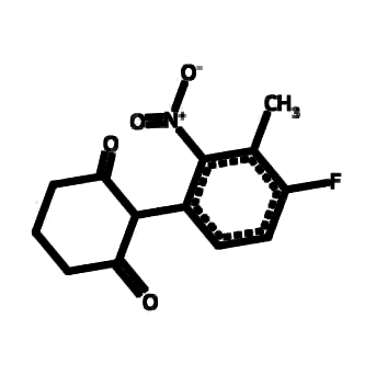 Cc1c(F)ccc(C2C(=O)CCCC2=O)c1[N+](=O)[O-]